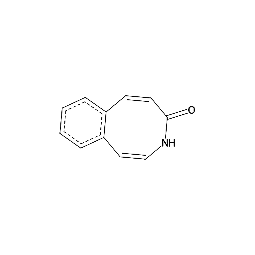 O=C1/C=C\c2ccccc2/C=C\N1